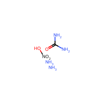 N.N.NC(N)=O.O=[N+]([O-])O